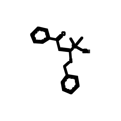 CC(C)(C)[Si](C)(C)/C(=C\C(=O)c1ccccc1)SCc1ccccc1